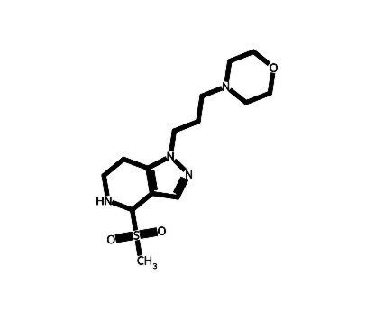 CS(=O)(=O)C1NCCc2c1cnn2CCCN1CCOCC1